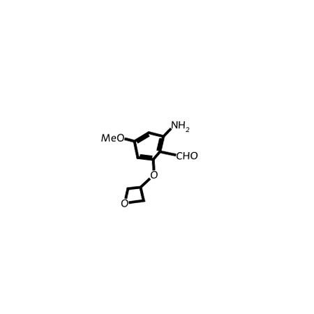 COc1cc(N)c(C=O)c(OC2COC2)c1